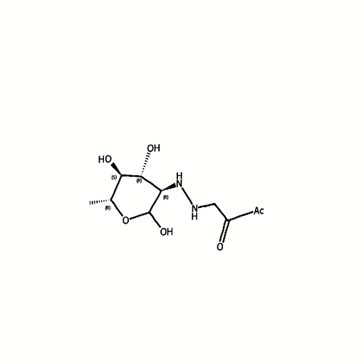 CC(=O)C(=O)CNN[C@H]1C(O)O[C@H](C)[C@@H](O)[C@@H]1O